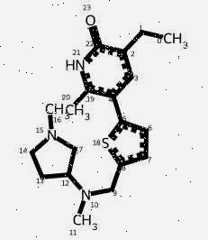 CCc1cc(-c2ccc(CN(C)C3CCN(C)C3)s2)c(C)[nH]c1=O